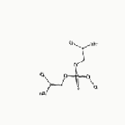 CCCC(Cl)COP(=S)(OCl)OCC(Cl)CCC